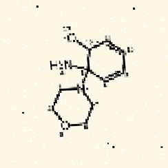 NC1(N2CCOCC2)C=CC=CC1[O]